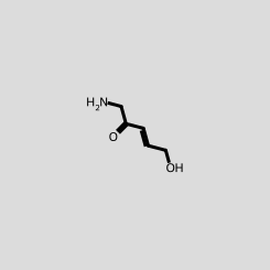 NCC(=O)/C=C/CO